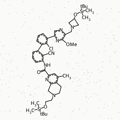 COc1nc(-c2cccc(-c3cccc(NC(=O)c4cc(C)c5c(n4)CN(CCO[Si](C)(C)C(C)(C)C)CC5)c3C#N)c2Cl)cnc1CN1CC(O[Si](C)(C)C(C)(C)C)C1